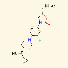 CC(=O)NCC1CN(c2ccc(N3CCC(=C(C#N)C4CC4)CC3)c(F)c2)C(=O)O1